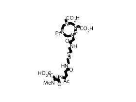 CCN1CCN(CC(=O)O)CCN(CC(=O)O)CCN(CC(=O)NCCSSCCNC(=O)CCC(NC(=O)C(CCC(=O)O)NC)C(C)=O)CC1